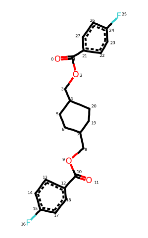 O=C(OCC1CCC(COC(=O)c2ccc(F)cc2)CC1)c1ccc(F)cc1